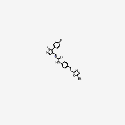 CCc1nnc(CCc2ccc(NC(=O)/C=C/c3cnn(C)c3-c3ccc(F)cc3)cc2)o1